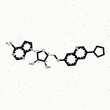 Nc1ncnc2c1ccn2[C@@H]1O[C@H](COc2ccc3cc(C4CCCC4)cnc3c2)[C@@H](O)[C@H]1O